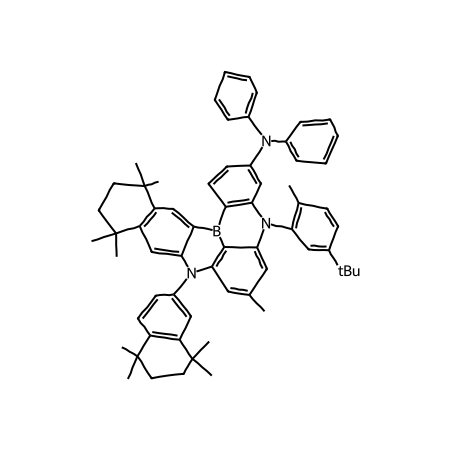 Cc1cc2c3c(c1)N(c1cc(C(C)(C)C)ccc1C)c1cc(N(c4ccccc4)c4ccccc4)ccc1B3c1cc3c(cc1N2c1ccc2c(c1)C(C)(C)CCC2(C)C)C(C)(C)CCC3(C)C